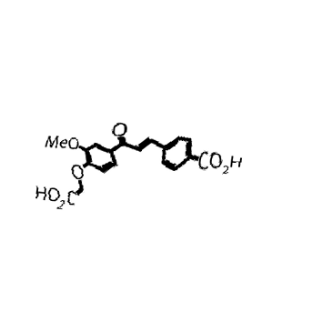 COc1cc(C(=O)C=Cc2ccc(C(=O)O)cc2)ccc1OCC(=O)O